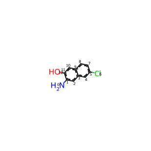 Nc1cc2cc(Cl)ccc2cc1O